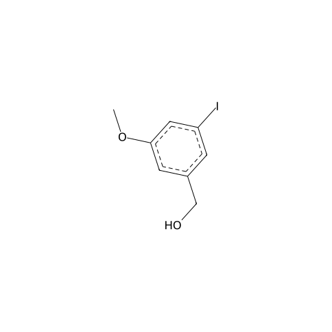 COc1cc(I)cc(CO)c1